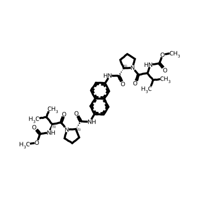 COC(=O)NC(C(=O)N1CCC[C@H]1C(=O)Nc1ccc2cc(NC(=O)[C@@H]3CCCN3C(=O)[C@@H](NC(=O)OC)C(C)C)ccc2c1)C(C)C